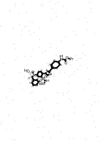 CC(C)OC(=O)NC1CCC(c2ncc(-c3ccc(N(C(=O)O)[C@@H](C)c4ccccc4)cc3S(=O)(=O)NC(C)(C)C)s2)CC1